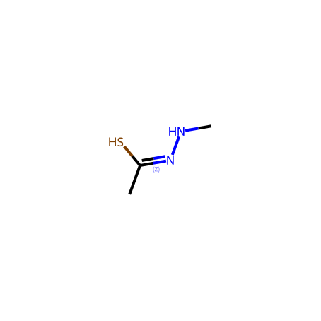 CN/N=C(/C)S